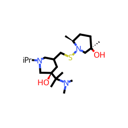 CC(C)N1CC(CSN2C[C@](C)(O)CC[C@@H]2C)C[C@](O)(C(C)(C)N(C)C)C1